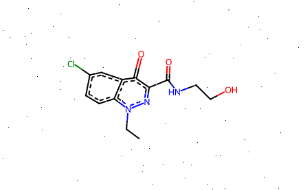 CCn1nc(C(=O)NCCO)c(=O)c2cc(Cl)ccc21